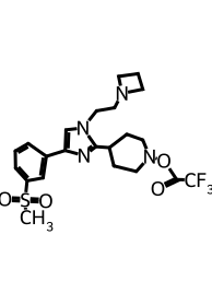 CS(=O)(=O)c1cccc(-c2cn(CCN3CCC3)c(C3CCN(OC(=O)C(F)(F)F)CC3)n2)c1